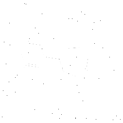 CN1CCOC(c2ccccc2)[C@@H](O)C1